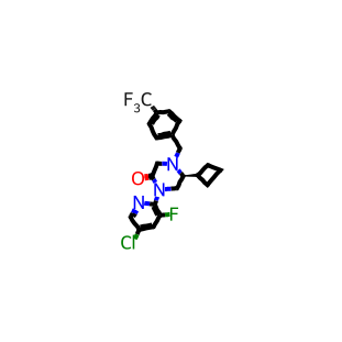 O=C1CN(Cc2ccc(C(F)(F)F)cc2)[C@@H](C2CCC2)CN1c1ncc(Cl)cc1F